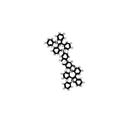 CC1=C(c2ccc(N3c4ccccc4-c4c(n(-c5ccccc5)c5ccccc45)-c4ccccc43)cc2C)CC(C)C(N2c3ccccc3-c3c(n(-c4ccccc4)c4ccccc34)-c3ccccc32)=C1